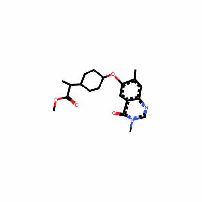 COC(=O)C(C)C1CCC(Oc2cc3c(=O)n(C)cnc3cc2C)CC1